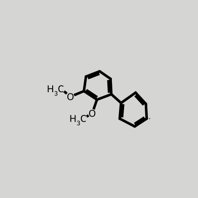 COc1cccc(-c2cc[c]cc2)c1OC